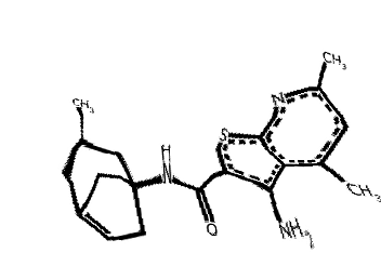 Cc1cc(C)c2c(N)c(C(=O)NC34CC=C(C[C@@H](C)C3)C4)sc2n1